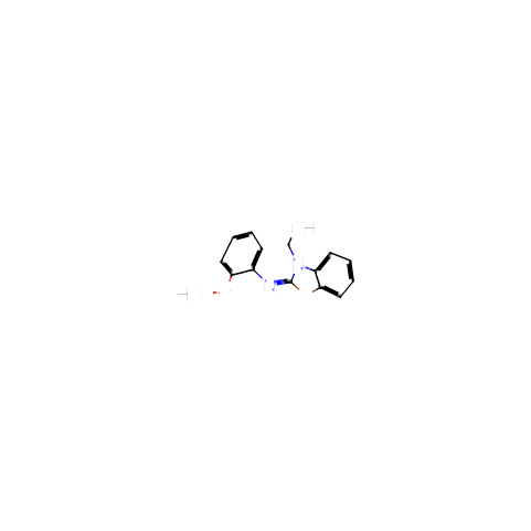 CCn1c(=Nc2ccccc2OC)sc2ccccc21